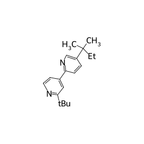 CCC(C)(C)c1ccc(-c2ccnc(C(C)(C)C)c2)nc1